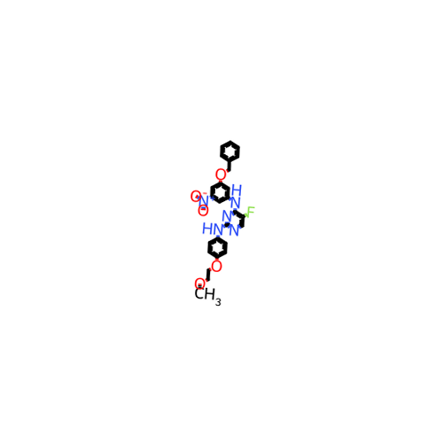 COCCOc1ccc(Nc2ncc(F)c(Nc3cc(OCc4ccccc4)cc([N+](=O)[O-])c3)n2)cc1